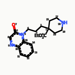 CCOC(=O)C1(CCCn2c(=O)cnc3ccccc32)CCNCC1